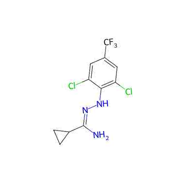 NC(=NNc1c(Cl)cc(C(F)(F)F)cc1Cl)C1CC1